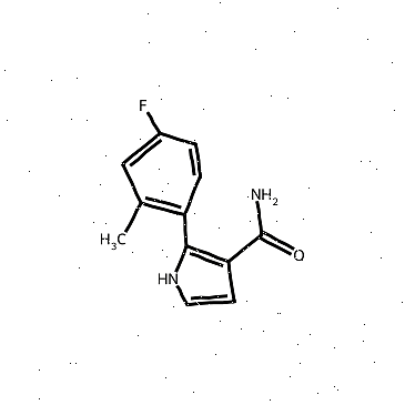 Cc1cc(F)ccc1-c1[nH]ccc1C(N)=O